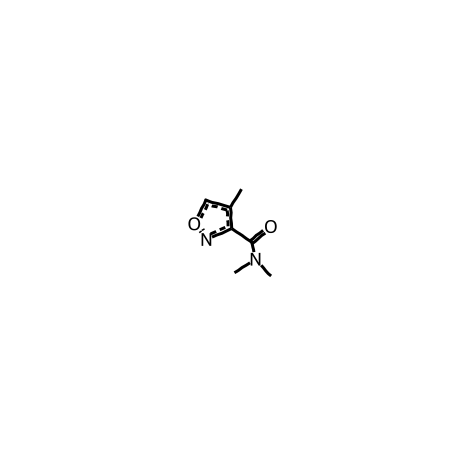 Cc1conc1C(=O)N(C)C